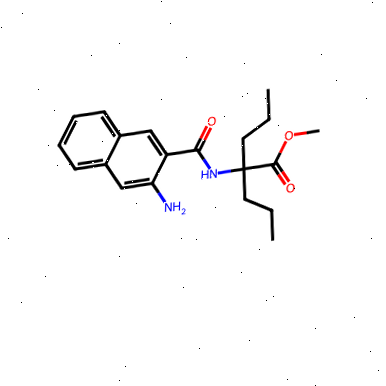 CCCC(CCC)(NC(=O)c1cc2ccccc2cc1N)C(=O)OC